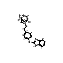 c1ccc2sc(Oc3ccc(CCN4C[C@@H]5C[C@H]4CN5)cc3)nc2c1